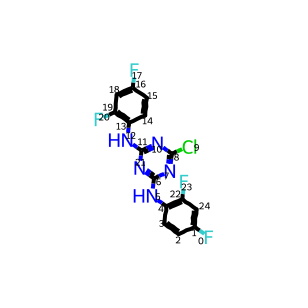 Fc1ccc(Nc2nc(Cl)nc(Nc3ccc(F)cc3F)n2)c(F)c1